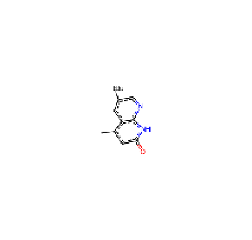 Cc1cc(=O)[nH]c2ncc(C(C)(C)C)cc12